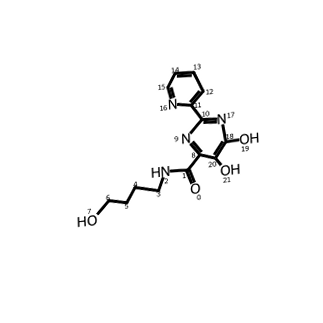 O=C(NCCCCO)c1nc(-c2ccccn2)nc(O)c1O